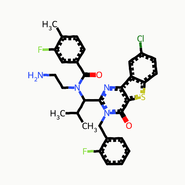 Cc1ccc(C(=O)N(CCN)C(c2nc3c(sc4ccc(Cl)cc43)c(=O)n2Cc2ccccc2F)C(C)C)cc1F